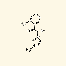 Cc1ccccc1C(=O)C[n+]1ccn(C)c1.[Br-]